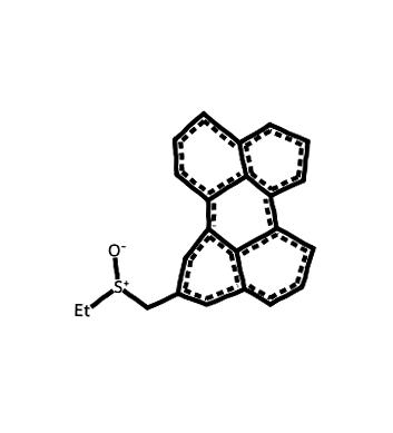 CC[S+]([O-])Cc1cc2cccc3c4cccc5cccc(c(c1)c23)c54